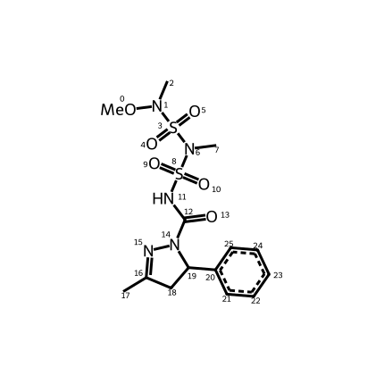 CON(C)S(=O)(=O)N(C)S(=O)(=O)NC(=O)N1N=C(C)CC1c1ccccc1